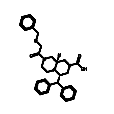 O=C(O)N1C[C@@H]2CN(C(=O)COCc3ccccc3)CCN2[C@H](C(c2ccccc2)c2ccccc2)C1